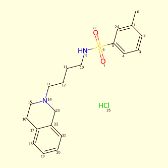 Cc1cccc(S(=O)(=O)NCCCCN2CCc3ccccc3C2)c1.Cl